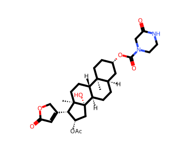 CC(=O)O[C@H]1C[C@]2(O)[C@@H]3CC[C@@H]4C[C@@H](OC(=O)N5CCNC(=O)C5)CC[C@]4(C)[C@H]3CC[C@]2(C)[C@H]1C1=CC(=O)OC1